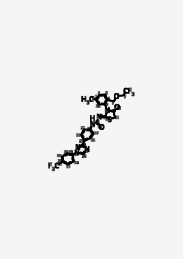 Cc1ccc(COCC(F)(F)F)c(N2C(=O)CS/C2=N\C(=O)Nc2ccc(-c3ncn(-c4ccc(C(F)(F)F)cc4)n3)cc2)c1